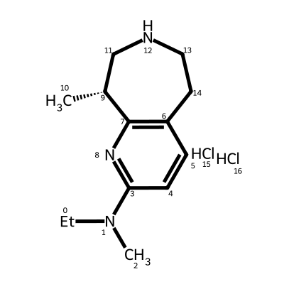 CCN(C)c1ccc2c(n1)[C@H](C)CNCC2.Cl.Cl